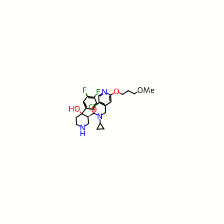 COCCCOc1cc(CN(C(=O)[C@H]2CNCC[C@]2(O)c2ccc(F)c(F)c2)C2CC2)c(Cl)cn1